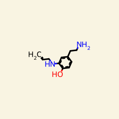 C=CCNc1cc(CCN)ccc1O